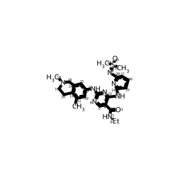 CCNC(=O)c1cnc(Nc2cc(C)c3c(c2)CN(C)CC3)nc1Nc1cccc(N=S(C)(C)=O)n1